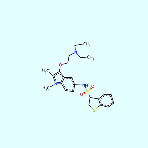 CCN(CC)CCOc1c(C)n(C)c2ccc(NS(=O)(=O)C3CSc4ccccc43)cc12